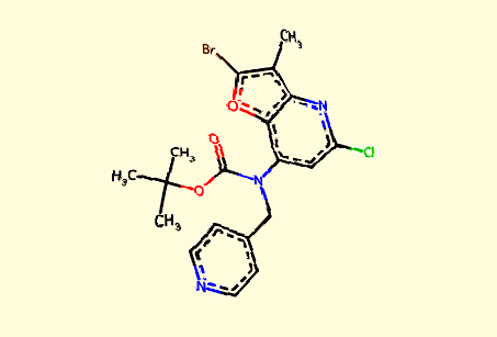 Cc1c(Br)oc2c(N(Cc3ccncc3)C(=O)OC(C)(C)C)cc(Cl)nc12